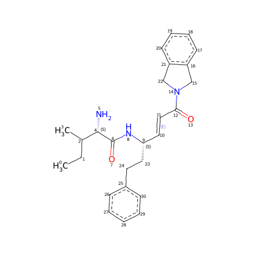 CCC(C)[C@H](N)C(=O)N[C@H](/C=C/C(=O)N1Cc2ccccc2C1)CCc1ccccc1